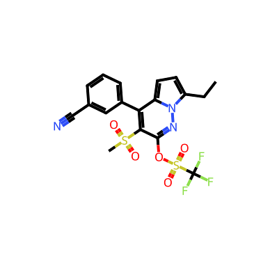 CCc1ccc2c(-c3cccc(C#N)c3)c(S(C)(=O)=O)c(OS(=O)(=O)C(F)(F)F)nn12